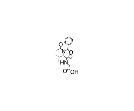 CC(=O)N(C(=O)c1ccccc1)C(C(=O)NCC(=O)O)C(C)C